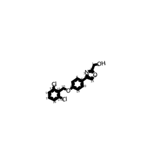 OCc1nc(-c2ccc(OCc3c(Cl)cccc3Cl)cc2)co1